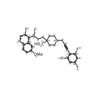 COc1ccc2ncc(F)c([C@@H](F)CCC3(C(=O)O)CCN(CC#Cc4c(F)cc(F)cc4F)CC3)c2c1